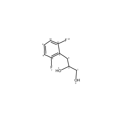 OCC(O)Cc1c(F)cccc1F